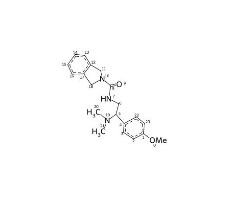 COc1ccc(C(CNC(=O)N2Cc3ccccc3C2)N(C)C)cc1